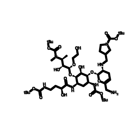 C[C@@H]([C@@H](O)[C@H](OCCO)O[C@@H]1[C@@H](O)[C@H](O[C@H]2OC(CN)=CC[C@H]2NCC2CCN(C(=O)OC(C)(C)C)C2)[C@@H](NC(=O)OC(C)(C)C)C[C@H]1NC(=O)[C@@H](O)CCNC(=O)OC(C)(C)C)N(C)C(=O)OC(C)(C)C